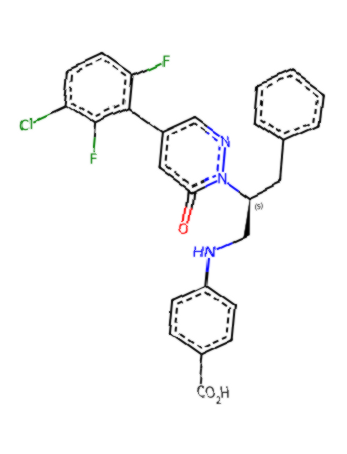 O=C(O)c1ccc(NC[C@H](Cc2ccccc2)n2ncc(-c3c(F)ccc(Cl)c3F)cc2=O)cc1